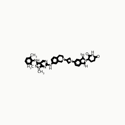 [2H]C1c2ccc(N3CC(N4CCc5ccc(Nc6ncc7c(Nc8c(C)cccc8C)nn(C)c7n6)cc5C4)C3)cc2C([2H])N1C1CCC(=O)NC1=O